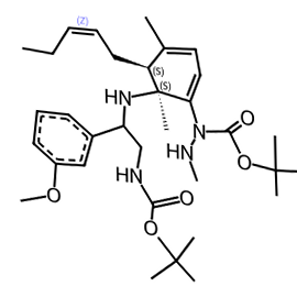 CC/C=C\C[C@H]1C(C)=CC=C(N(NC)C(=O)OC(C)(C)C)[C@@]1(C)NC(CNC(=O)OC(C)(C)C)c1cccc(OC)c1